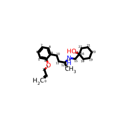 C=CCOc1ccccc1CCC(C)NCC1(O)CCCCC1